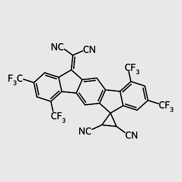 N#CC(C#N)=C1c2cc3c(cc2-c2c1cc(C(F)(F)F)cc2C(F)(F)F)C1(c2cc(C(F)(F)F)cc(C(F)(F)F)c2-3)C(C#N)C1C#N